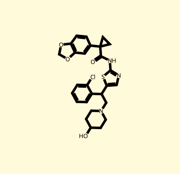 O=C(Nc1ncc(C(CN2CCC(O)CC2)c2ccccc2Cl)s1)C1(c2ccc3c(c2)OCO3)CC1